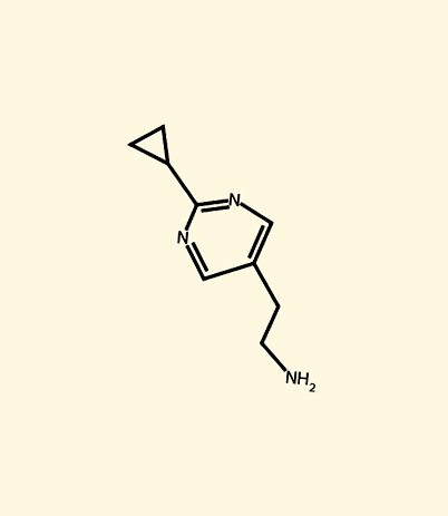 NCCc1cnc(C2CC2)nc1